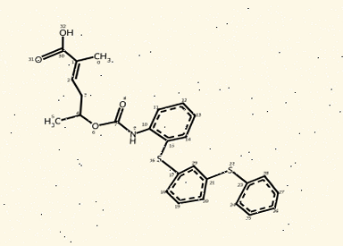 C/C(=C\CC(C)OC(=O)Nc1ccccc1Sc1cccc(Sc2ccccc2)c1)C(=O)O